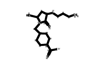 CCCCSC1CC(O)N(CC2CCC(C(=O)I)CC2)C1=O